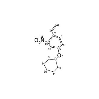 C=Cc1ccc(OC2CCCCC2)cc1[N+](=O)[O-]